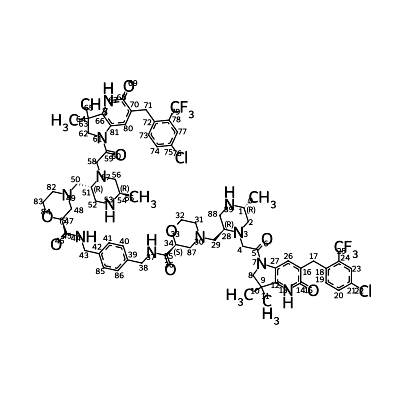 C[C@@H]1CN(CC(=O)N2CC(C)(C)c3[nH]c(=O)c(Cc4ccc(Cl)cc4C(F)(F)F)cc32)[C@@H](CN2CCO[C@H](C(=O)NCc3ccc(CNC(=O)[C@@H]4CN(C[C@H]5CN[C@H](C)CN5CC(=O)N5CC(C)(C)c6[nH]c(=O)c(Cc7ccc(Cl)cc7C(F)(F)F)cc65)CCO4)cc3)C2)CN1